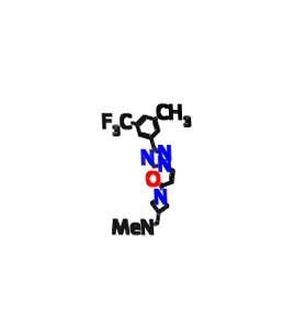 CNCC1CN(C(=O)/C=C\n2cnc(-c3cc(C)cc(C(F)(F)F)c3)n2)C1